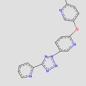 Cc1ccc(Oc2ccc(-n3nnc(-c4ccccn4)n3)cn2)cn1